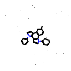 Cc1ccc2c(c1)c1ccn(-c3ccccc3)c1c1ccn(-c3ccccc3)c21